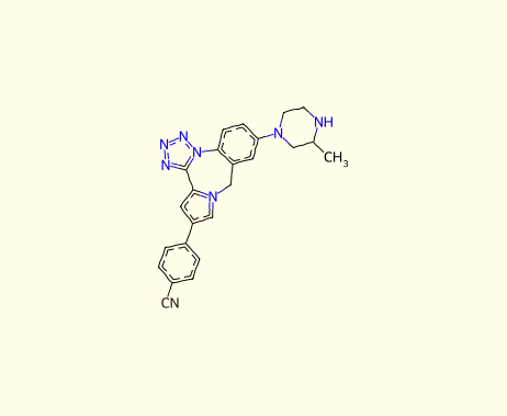 CC1CN(c2ccc3c(c2)Cn2cc(-c4ccc(C#N)cc4)cc2-c2nnnn2-3)CCN1